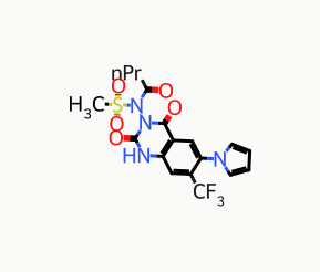 CCCC(=O)N(n1c(=O)[nH]c2cc(C(F)(F)F)c(-n3cccc3)cc2c1=O)S(C)(=O)=O